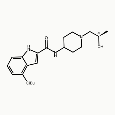 CC(C)COc1cccc2[nH]c(C(=O)NC3CCN(C[C@@H](C)O)CC3)cc12